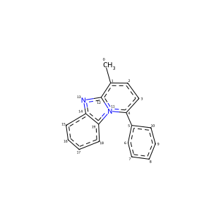 Cc1ccc(-c2ccccc2)n2c1nc1ccccc12